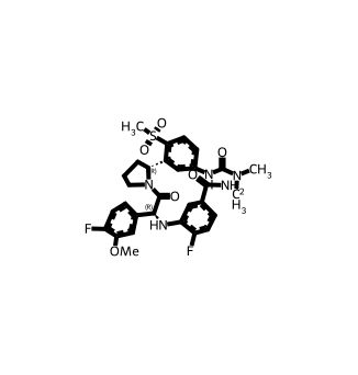 COc1cc([C@@H](Nc2cc(C(N)=O)ccc2F)C(=O)N2CCC[C@@H]2c2cc(NC(=O)N(C)C)ccc2S(C)(=O)=O)ccc1F